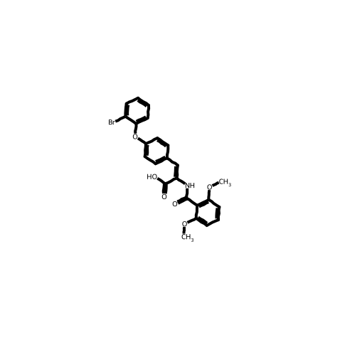 COc1cccc(OC)c1C(=O)N/C(=C/c1ccc(Oc2ccccc2Br)cc1)C(=O)O